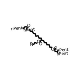 CCCCCC(CCCCC)CC(=O)OCCCCCCCCCC(CCCCCCCOC(=O)CC(CCCCC)CCCCC)C(=O)OCCCN(C)C